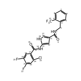 O=C(NCc1ccccc1C(F)(F)F)c1cc(NC(=O)c2cc(F)c(F)cc2Cl)[nH]n1